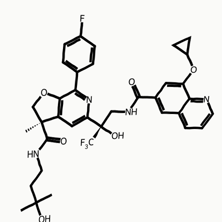 CC(C)(O)CCNC(=O)[C@@]1(C)COc2c1cc([C@@](O)(CNC(=O)c1cc(OC3CC3)c3ncccc3c1)C(F)(F)F)nc2-c1ccc(F)cc1